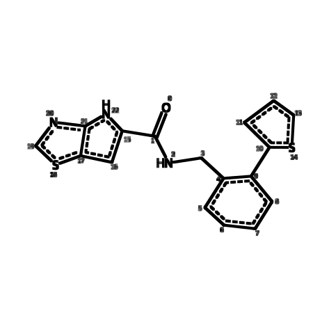 O=C(NCc1ccccc1-c1cccs1)c1cc2scnc2[nH]1